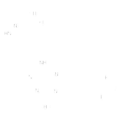 CCn1c(-c2ccc(C(F)(F)F)cc2)nc2c(N[C@@H]3CCc4[nH]nc(C(C)C)c4C3)ncnc21